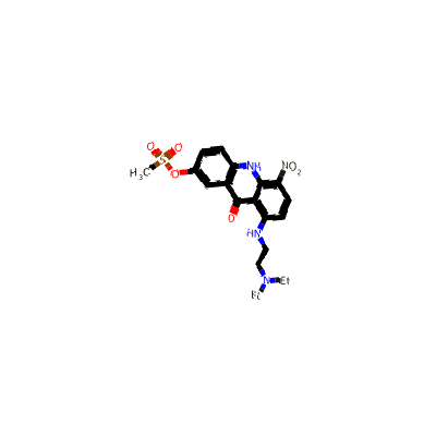 CCN(CC)CCNc1ccc([N+](=O)[O-])c2[nH]c3ccc(OS(C)(=O)=O)cc3c(=O)c12